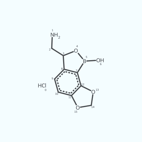 Cl.NCC1OB(O)c2c1ccc1c2OCO1